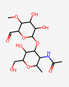 COC1C(C=O)OC(OC2C(O)C(CO)OC(C)C2NC(C)=O)C(O)C1O